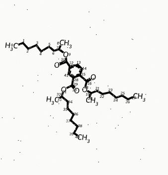 CCCCCCCC(C)OC(=O)c1ccc(C(=O)OC(C)CCCCCCC)c(C(=O)OC(C)CCCCCCC)c1